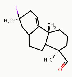 C[C@]1(I)CC=C2C(CCC3[C@@]2(C)CCC[C@@]3(C)C=O)C1